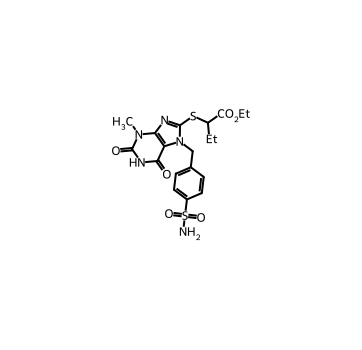 CCOC(=O)C(CC)Sc1nc2c(c(=O)[nH]c(=O)n2C)n1Cc1ccc(S(N)(=O)=O)cc1